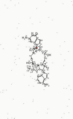 CO[C@H]1[C@H]2OP(=O)(O)OC[C@@]34C[C@@H]3[C@@H](n3ccc5c(N)ncnc53)C(O[Si](C)(C)C(C)(C)C)[C@@H]4OP(=O)(O)OC[C@H]1O[C@H]2n1cnc2c(=O)[nH]c(N)nc21